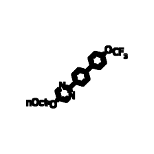 CCCCCCCCOc1cnc(-c2ccc(-c3ccc(OC(F)(F)F)cc3)cc2)nc1